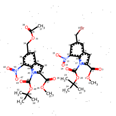 COC(=O)c1cc2cc(CBr)cc([N+](=O)[O-])c2n1C(=O)OC(C)(C)C.COC(=O)c1cc2cc(COC(C)=O)cc([N+](=O)[O-])c2n1C(=O)OC(C)(C)C